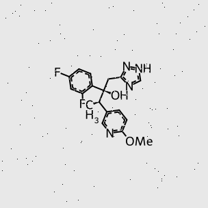 COc1ccc([C@@H](C)[C@@](O)(Cc2nc[nH]n2)c2ccc(F)cc2F)cn1